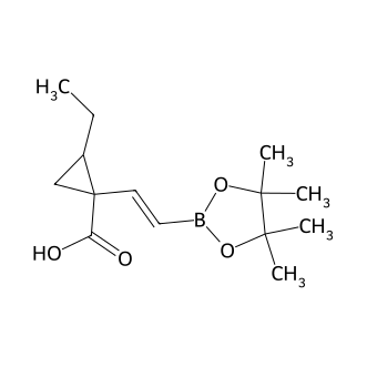 CCC1CC1(C=CB1OC(C)(C)C(C)(C)O1)C(=O)O